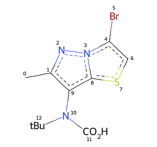 Cc1nn2c(Br)csc2c1N(C(=O)O)C(C)(C)C